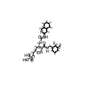 CN(C(=O)NCc1cccc(F)c1F)[C@H](COC(=O)Nc1cc2ccccc2cn1)C[C@H](O)COP(=O)(O)O